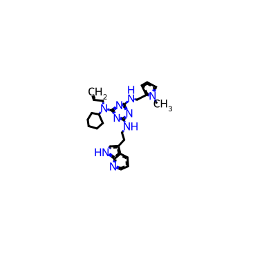 C=CCN(c1nc(NCCc2c[nH]c3ncccc23)nc(NCc2cccn2C)n1)C1CCCCC1